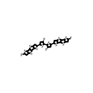 Fc1cc2sc3c4sc(-c5cc(F)c(-c6sc(-c7cc8sc9c%10sc(F)cc%10sc9c8s7)cc6F)s5)cc4sc3c2s1